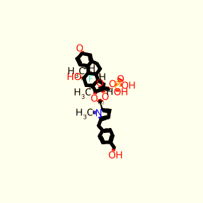 Cn1c(Cc2ccc(CO)cc2)ccc1[C@@H]1O[C@@H]2C[C@H]3[C@@H]4CCC5=CC(=O)C=C[C@]5(C)[C@@]4(F)[C@@H](O)C[C@]3(C)[C@]2(C(=O)COP(=O)(O)O)O1